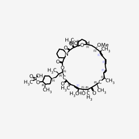 CO[C@H]1C[C@@H]2CC[C@@H](C)[C@@](O)(O2)C(=O)C(=O)N2CCCCC2C(=O)O[C@H]([C@H](C)C[C@@H]2CCC(OP(C)(C)=O)[C@H](C)C2)CC(=O)[C@H](C)/C=C(\C)[C@@H](O)[C@@H](C)C(=O)[C@H](C)C[C@H](C)/C=C/C=C/C=C/1C